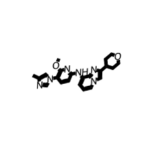 COc1nc(Nc2cccn3cc(C4CCOCC4)nc23)ccc1-n1cnc(C)c1